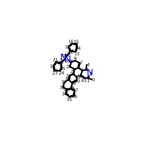 CC1=NC(C)C(C2=CCC(N3C(c4ccccc4)=NC3c3ccccc3)CC2C2C=C3CCc4ccccc4C3=CC2)C=C1